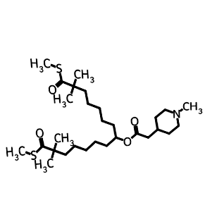 CSC(=O)C(C)(C)CCCCCC(CCCCCC(C)(C)C(=O)SC)OC(=O)CC1CCN(C)CC1